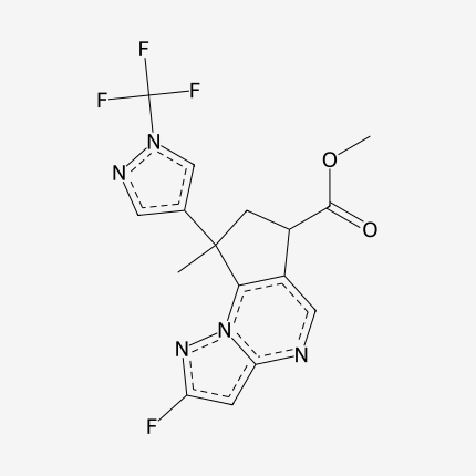 COC(=O)C1CC(C)(c2cnn(C(F)(F)F)c2)c2c1cnc1cc(F)nn21